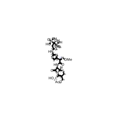 CO/N=C(\C(=O)N[C@@H]1C(=O)N2C(C(=O)O)=C(COC(C)=O)CS[C@@H]12)c1csc(NC(=O)CC(O)(P(=O)(O)O)P(=O)(O)O)n1